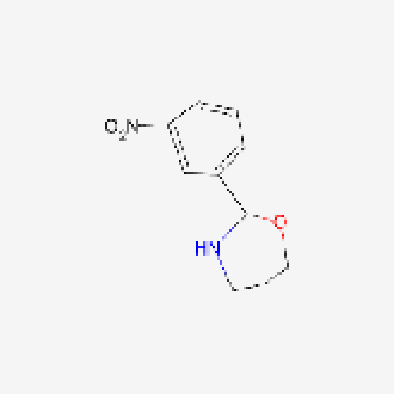 O=[N+]([O-])c1cccc(C2NCCCO2)c1